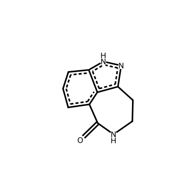 O=C1NCCc2n[nH]c3cccc1c23